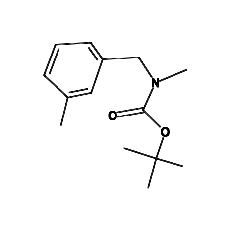 Cc1cccc(CN(C)C(=O)OC(C)(C)C)c1